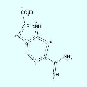 CCOC(=O)c1cc2ccc(C(=N)N)cc2[nH]1